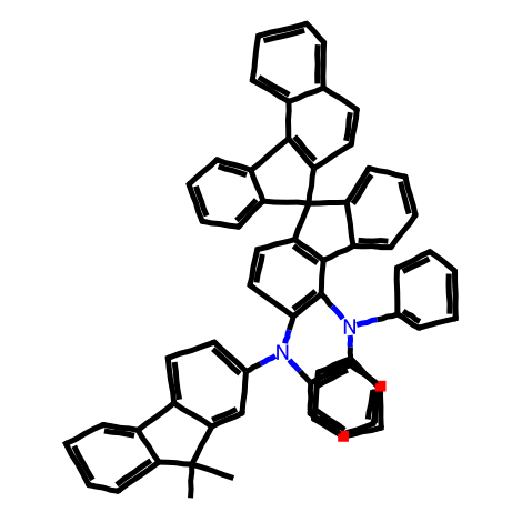 CC1(C)c2ccccc2-c2ccc(N(c3ccccc3)c3ccc4c(c3N(c3ccccc3)c3ccccc3)-c3ccccc3C43c4ccccc4-c4c3ccc3ccccc43)cc21